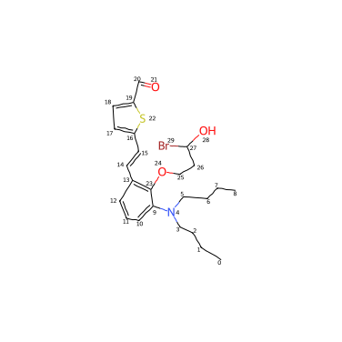 CCCCN(CCCC)c1cccc(C=Cc2ccc(C=O)s2)c1OCCC(O)Br